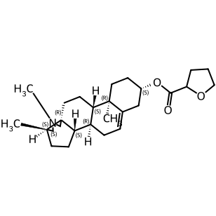 C[C@H]1[C@H]2CC[C@H]3[C@@H]4CC=C5C[C@@H](OC(=O)C6CCCO6)CC[C@]5(C)[C@H]4CC[C@]23CN1C